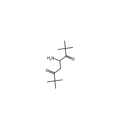 CC(C)(C)C(=O)CC(N)C(=O)C(C)(C)C